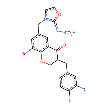 O=C(O)N=c1occn1Cc1cc(Br)c2c(c1)C(=O)C(Cc1ccc(Cl)c(Cl)c1)CO2